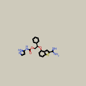 N=C(N)c1cc2c(OC(COC(=O)Nc3ccn[nH]3)c3ccccc3)cccc2s1